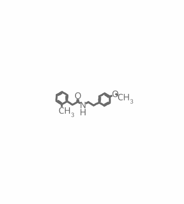 COc1ccc(CCNC(=O)Cc2ccccc2C)cc1